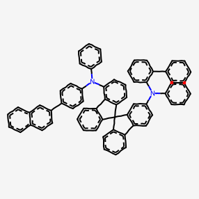 c1ccc(-c2ccccc2N(c2ccccc2)c2ccc3c(c2)C2(c4ccccc4-3)c3ccccc3-c3c(N(c4ccccc4)c4ccc(-c5ccc6ccccc6c5)cc4)cccc32)cc1